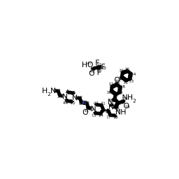 NCCN1CCN(C/C=C/C(=O)N2CCC([C@@H]3CCNc4c(C(N)=O)c(-c5ccc(Oc6ccccc6)cc5)nn43)CC2)CC1.O=C(O)C(F)(F)F